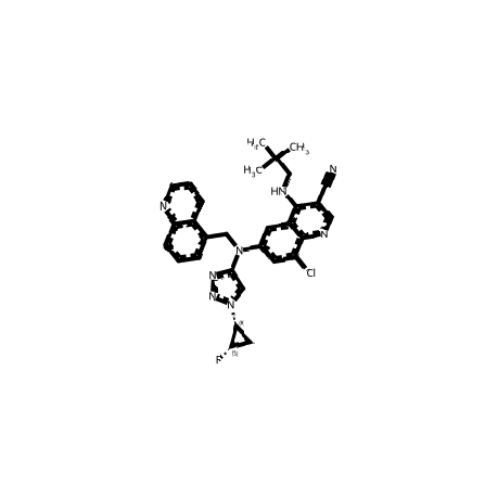 CC(C)(C)CNc1c(C#N)cnc2c(Cl)cc(N(Cc3cccc4ncccc34)c3cn([C@@H]4C[C@@H]4F)nn3)cc12